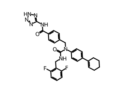 O=C(Nc1nn[nH]n1)c1ccc(CN(C(=O)NCc2c(F)cccc2F)c2ccc(C3=CCCCC3)cc2)cc1